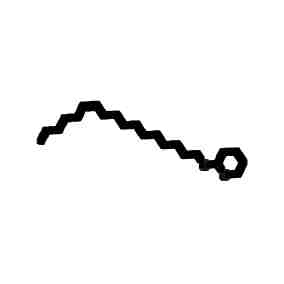 CCCCC/C=C\CCCCCCCCCCOC1CCCCO1